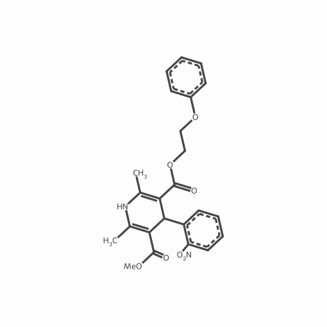 COC(=O)C1=C(C)NC(C)=C(C(=O)OCCOc2ccccc2)C1c1ccccc1[N+](=O)[O-]